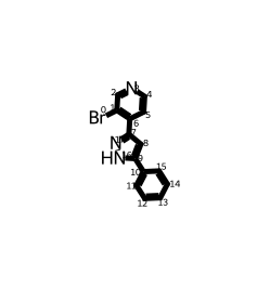 Brc1cnccc1-c1cc(-c2ccccc2)[nH]n1